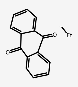 O=C1c2ccccc2C(=O)c2ccccc21.[CH2]CC